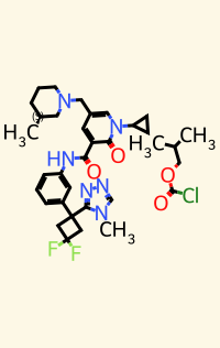 CC(C)COC(=O)Cl.C[C@H]1CCCN(Cc2cc(C(=O)Nc3cccc(C4(c5nncn5C)CC(F)(F)C4)c3)c(=O)n(C3CC3)c2)C1